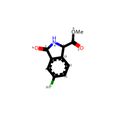 COC(=O)C1NC(=O)c2cc(F)ccc21